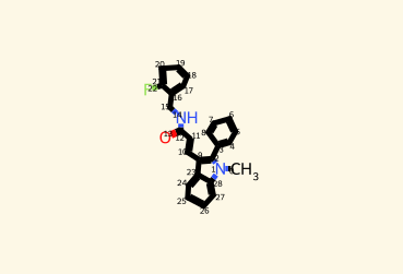 Cn1c(-c2ccccc2)c(/C=C/C(=O)NCc2ccccc2F)c2ccccc21